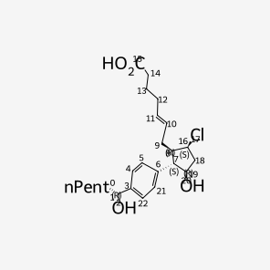 CCCCC[C@@H](O)c1ccc([C@@H]2[C@@H](CC=CCCCC(=O)O)[C@@H](Cl)C[C@H]2O)cc1